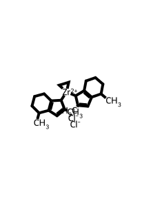 CC1=CC2=C(CCCC2C)[CH]1[Zr+2]1([CH]2C(C)=CC3=C2CCCC3C)[CH2][CH2]1.[Cl-].[Cl-]